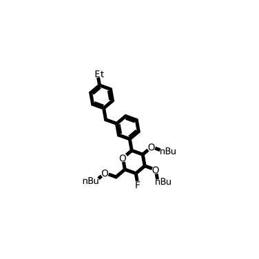 CCCCOCC1OC(c2cccc(Cc3ccc(CC)cc3)c2)C(OCCCC)C(OCCCC)C1F